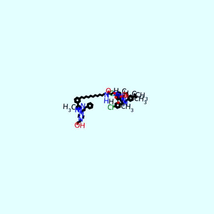 CCOc1cc(C(C)(C)C)ccc1C1=N[C@@](C)(c2ccc(Cl)cc2)[C@@](C)(c2ccc(Cl)cc2)N1C(=O)N1CCN(CCC(=O)NCCCCCCCCCCCc2cccc(-c3c(C)nn4c(N5CCN(CCO)CC5)cc(-c5ccccc5)nc34)c2)CC1